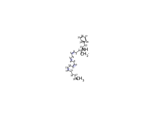 [CH2]C(CC/C=C\C/C=C\C/C=C\C/C=C\CCCCC)NCCc1ccccc1